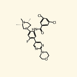 C[C@@H]1CN(c2cc(F)c(-c3cnc(N4CCOCC4)nc3)cc2NC(=O)c2cc(Cl)cc(Cl)c2)C[C@H](C)N1C